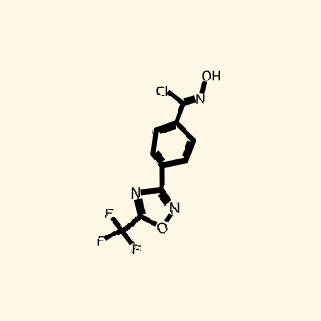 O/N=C(\Cl)c1ccc(-c2noc(C(F)(F)F)n2)cc1